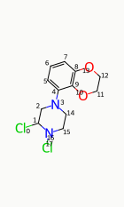 ClC1CN(c2cccc3c2OCCO3)CCN1Cl